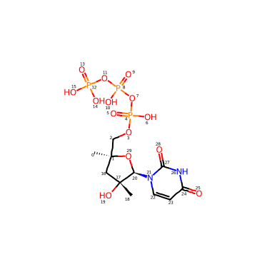 C[C@@]1(COP(=O)(O)OP(=O)(O)OP(=O)(O)O)C[C@@](C)(O)[C@H](n2ccc(=O)[nH]c2=O)O1